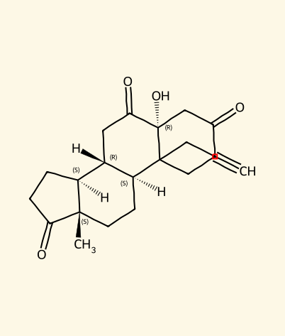 C#CCC12CCC(=O)C[C@]1(O)C(=O)C[C@@H]1[C@@H]2CC[C@]2(C)C(=O)CC[C@@H]12